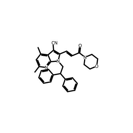 Cc1cc(C)c2c(C#N)c(/C=C/C(=O)N3CCOCC3)n(CC(c3ccccc3)c3ccccc3)c2n1